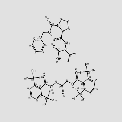 CC(C)[C@H](NC(=O)[C@@H]1CCCN1C(=O)OCc1ccccc1)C(=O)O.O=C(COC(=O)c1c(C(F)(F)F)cccc1C(F)(F)F)COC(=O)c1c(C(F)(F)F)cccc1C(F)(F)F